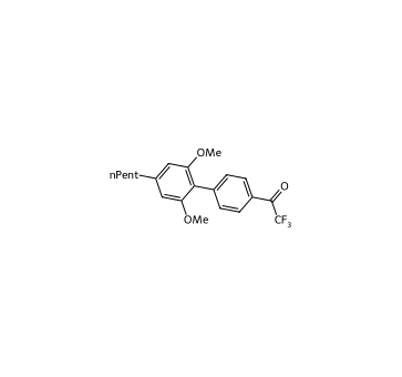 CCCCCc1cc(OC)c(-c2ccc(C(=O)C(F)(F)F)cc2)c(OC)c1